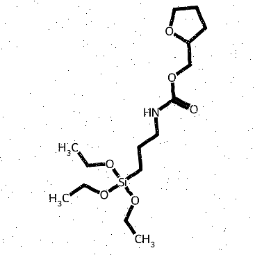 CCO[Si](CCCNC(=O)OCC1CCCO1)(OCC)OCC